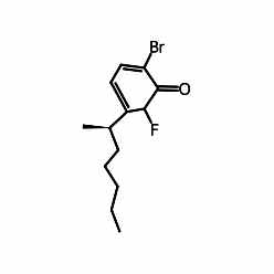 CCCCC[C@@H](C)C1=CC=C(Br)C(=O)C1F